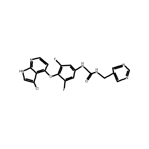 O=C(NCc1cncnc1)Nc1cc(F)c(Oc2ccnc3[nH]cc(Cl)c23)c(F)c1